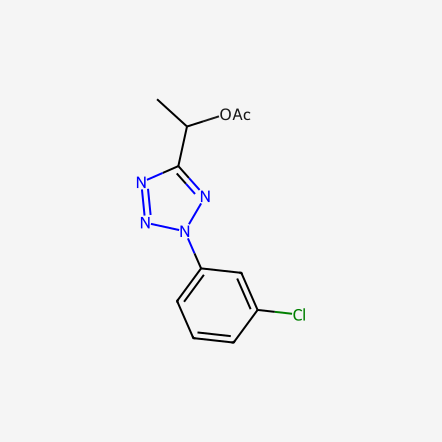 CC(=O)OC(C)c1nnn(-c2cccc(Cl)c2)n1